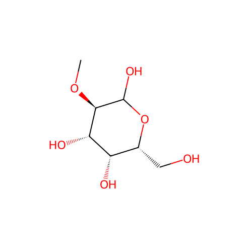 CO[C@H]1C(O)O[C@H](CO)[C@H](O)[C@@H]1O